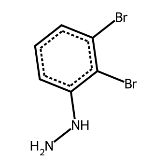 NNc1cccc(Br)c1Br